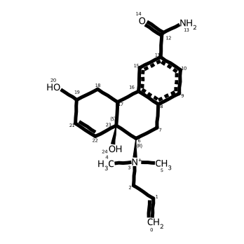 C=CC[N+](C)(C)[C@@H]1Cc2ccc(C(N)=O)cc2C2CC(O)C=C[C@]21O